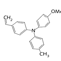 C=Cc1ccc(N(c2ccc(C)cc2)c2ccc(OC)cc2)cc1